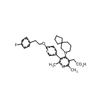 Cc1nc(C)c(-c2ccc(OCCc3ccc(F)cc3)cc2)c(N2CCCC3(CCCC3)C2)c1CC(=O)O